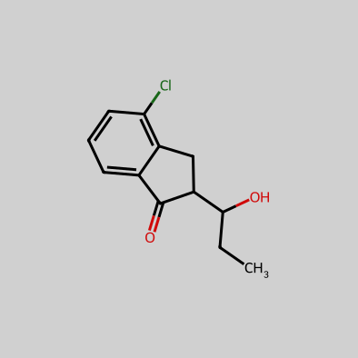 CCC(O)C1Cc2c(Cl)cccc2C1=O